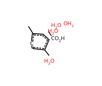 CC(=O)O.Cc1ccc(C)cc1.O.O.O.O